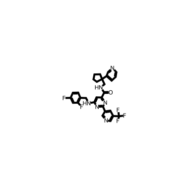 O=C(NCC1(c2cccnc2)CCCC1)c1cc(NCc2ccc(F)cc2F)nc(-c2cncc(C(F)(F)F)c2)n1